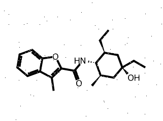 CC[C@H]1C[C@](O)(CC)C[C@@H](C)[C@@H]1NC(=O)c1oc2ccccc2c1C